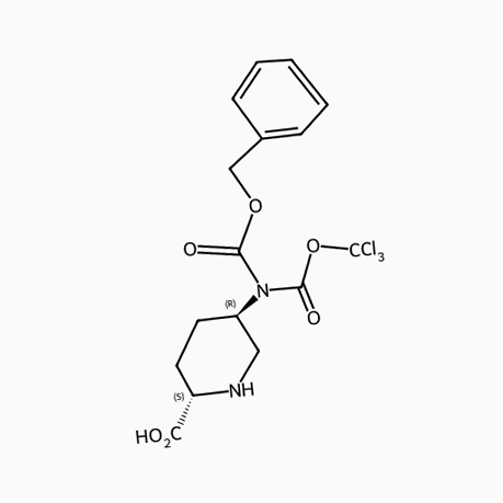 O=C(O)[C@@H]1CC[C@@H](N(C(=O)OCc2ccccc2)C(=O)OC(Cl)(Cl)Cl)CN1